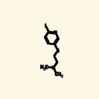 CN(C)CCSc1ccc(I)nc1